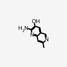 Cc1cc2nc(N)c(O)cc2cn1